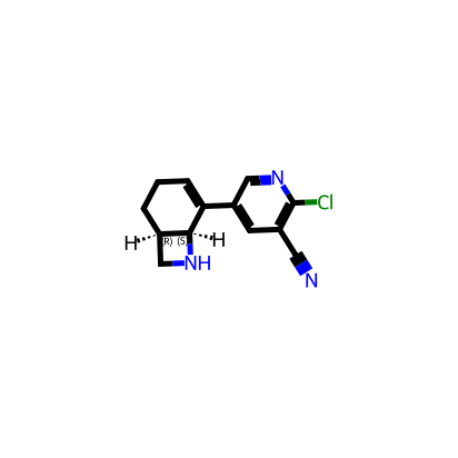 N#Cc1cc(C2=CCC[C@@H]3CN[C@H]23)cnc1Cl